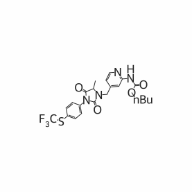 CCCCOC(=O)Nc1cc(CN2C(=O)N(c3ccc(SC(F)(F)F)cc3)C(=O)C2C)ccn1